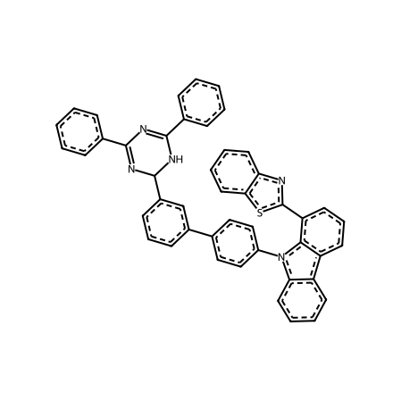 c1ccc(C2=NC(c3cccc(-c4ccc(-n5c6ccccc6c6cccc(-c7nc8ccccc8s7)c65)cc4)c3)NC(c3ccccc3)=N2)cc1